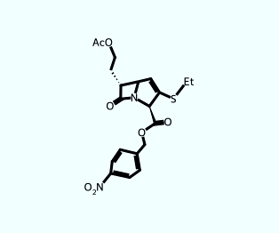 CCSC1=CC2[C@@H](CCOC(C)=O)C(=O)N2[C@@H]1C(=O)OCc1ccc([N+](=O)[O-])cc1